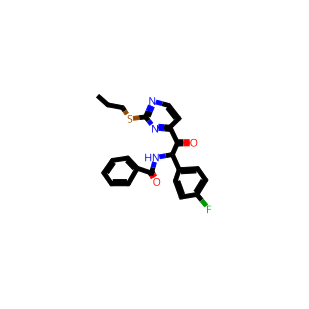 CCCSc1nccc(C(=O)C(NC(=O)c2ccccc2)c2ccc(F)cc2)n1